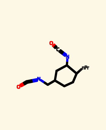 CCCC1CCC(CN=C=O)CC1N=C=O